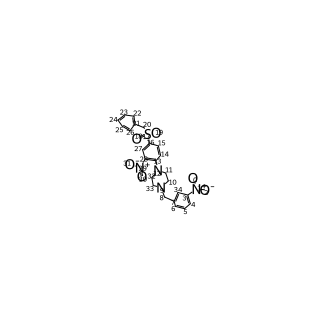 O=[N+]([O-])c1cccc(CN2CCN(c3ccc(S(=O)(=O)Cc4ccccc4)cc3[N+](=O)[O-])CC2)c1